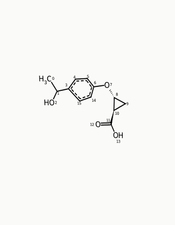 CC(O)c1ccc(O[C@@H]2C[C@H]2C(=O)O)cc1